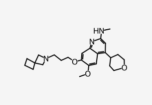 CNc1cc(C2CCOCC2)c2cc(OC)c(OCCCN3CC4(CCC4)C3)cc2n1